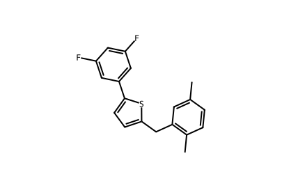 Cc1ccc(C)c(Cc2ccc(-c3cc(F)cc(F)c3)s2)c1